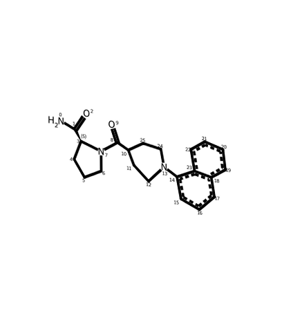 NC(=O)[C@@H]1CCCN1C(=O)C1CCN(c2cccc3ccccc23)CC1